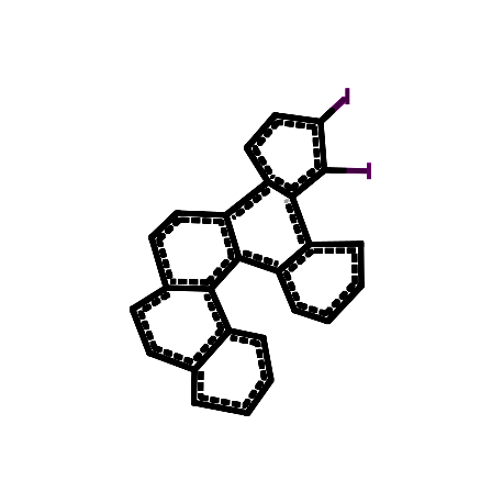 Ic1ccc2c3ccc4ccc5ccccc5c4c3c3ccccc3c2c1I